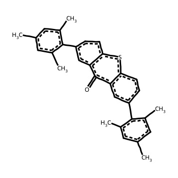 Cc1cc(C)c(-c2ccc3sc4ccc(-c5c(C)cc(C)cc5C)cc4c(=O)c3c2)c(C)c1